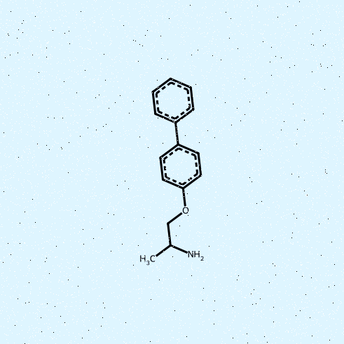 CC(N)COc1ccc(-c2ccccc2)cc1